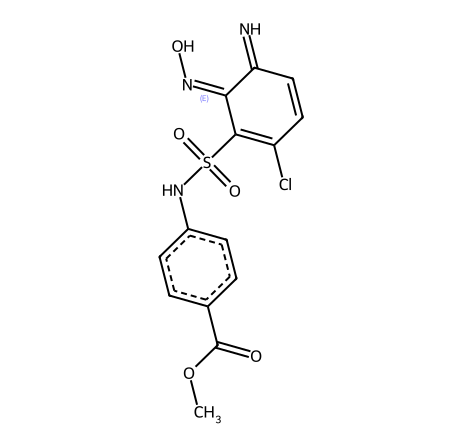 COC(=O)c1ccc(NS(=O)(=O)C2=C(Cl)C=CC(=N)/C2=N\O)cc1